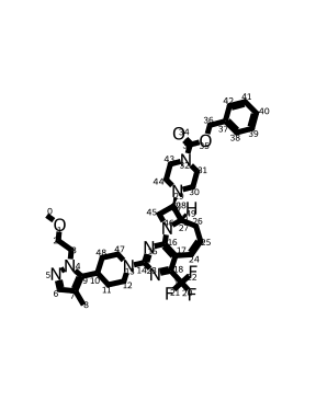 COCCn1ncc(C)c1C1CCN(c2nc3c(c(C(F)(F)F)n2)C=CC[C@H]2[C@H](N4CCN(C(=O)OCc5ccccc5)CC4)CN32)CC1